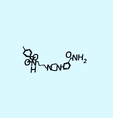 Cc1ccc(S(=O)(=O)NCCCCN2CCN(c3cccc(C(N)=O)c3)CC2)cc1